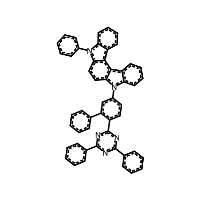 c1ccc(-c2nc(-c3ccccc3)nc(-c3ccc(-n4c5ccccc5c5c6c7ccccc7n(-c7ccccc7)c6ccc54)cc3-c3ccccc3)n2)cc1